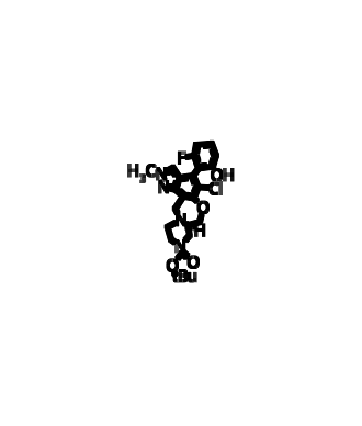 Cn1cc2c(-c3c(O)cccc3F)c(Cl)c3c(c2n1)CN1CCN(C(=O)OC(C)(C)C)C[C@@H]1CO3